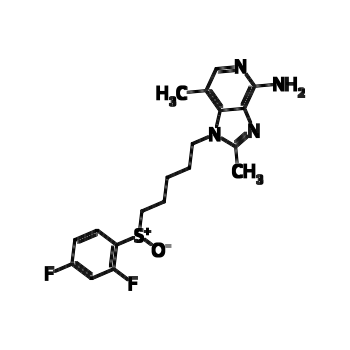 Cc1cnc(N)c2nc(C)n(CCCCC[S+]([O-])c3ccc(F)cc3F)c12